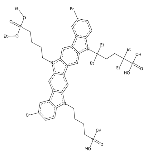 CCOP(=O)(CCCCn1c2cc3c4cc(Br)ccc4n(CCCCP(=O)(O)O)c3cc2c2cc3c(cc21)c1cc(Br)ccc1n3C(CC)(CC)CCC(CC)(CC)P(=O)(O)O)OCC